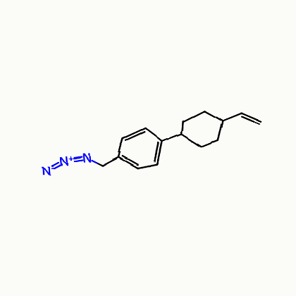 C=CC1CCC(c2ccc(CN=[N+]=[N-])cc2)CC1